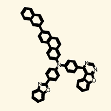 c1ccc2cc(-c3ccc4c(ccc5cc(N(c6ccc(-c7nc8ccccc8o7)cc6)c6ccc(-c7ncnc8oc9ccccc9c78)cc6)ccc54)c3)ccc2c1